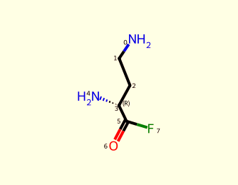 NCC[C@@H](N)C(=O)F